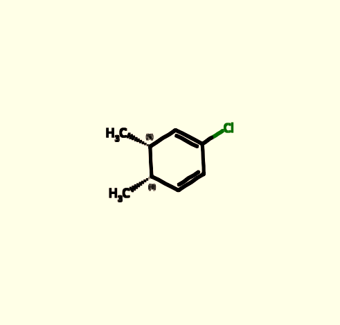 C[C@@H]1C=C(Cl)C=C[C@@H]1C